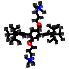 CC(C)[Si](C#Cc1cc(OCCC[N+](C)(C)C)c(C#C[Si](C(C)C)(C(C)C)C(C)C)cc1OCCC[N+](C)(C)C)(C(C)C)C(C)C